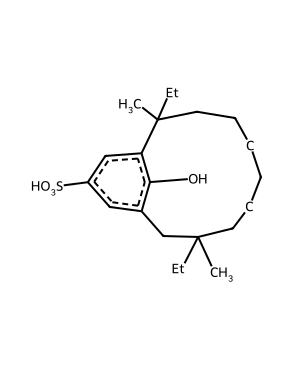 CCC1(C)CCCCCCC(C)(CC)c2cc(S(=O)(=O)O)cc(c2O)C1